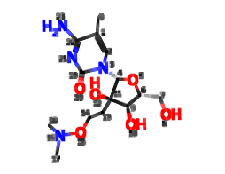 Cc1cn([C@@H]2O[C@H](CO)[C@@H](O)[C@]2(O)CCON(C)C)c(=O)nc1N